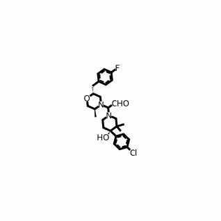 C[C@H]1CO[C@H](Cc2ccc(F)cc2)CN1C(C=O)N1CC[C@](O)(c2ccc(Cl)cc2)C(C)(C)C1